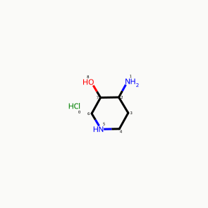 Cl.NC1CCNCC1O